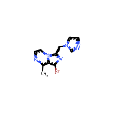 Cc1nccn2c(Cn3ccnc3)nc(Br)c12